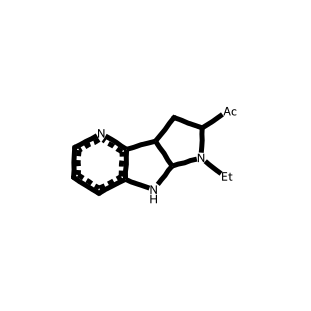 CCN1C(C(C)=O)CC2c3ncccc3NC21